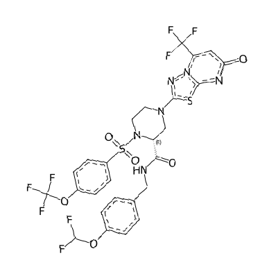 O=C(NCc1ccc(OC(F)F)cc1)[C@H]1CN(c2nn3c(C(F)(F)F)cc(=O)nc3s2)CCN1S(=O)(=O)c1ccc(OC(F)(F)F)cc1